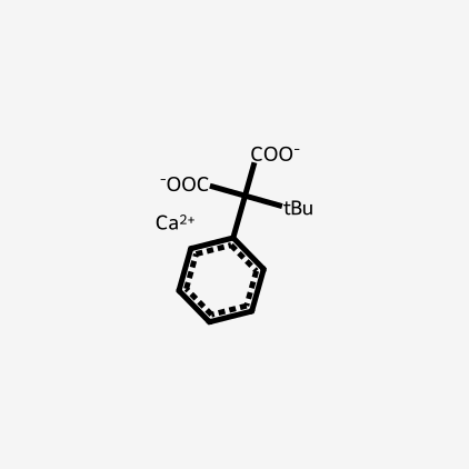 CC(C)(C)C(C(=O)[O-])(C(=O)[O-])c1ccccc1.[Ca+2]